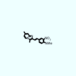 CNc1ccc(/C=C/c2nc3cc(C)ccn3c2C)cc1[N+](=O)[O-]